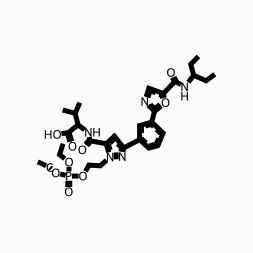 CCOP(=O)(OCC)OCCn1nc(-c2cccc(-c3ncc(C(=O)NC(CC)CC)o3)c2)cc1C(=O)NC(C(=O)O)C(C)C